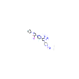 CN(C)C(=O)N1CCC(c2cc(-c3ccc(-c4ccn(-c5ccc(F)cc5)c(=O)c4C(N)=O)cc3F)c3c(N)ncnn23)CC1